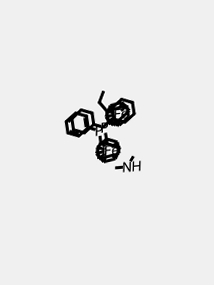 CC[C]12[CH]3[CH]4[CH]5[C]1(P(c1ccccc1)[C]16[CH]7[CH]8[CH]9[CH]1[Fe]89761%10%11%12[CH]6[CH]1[CH]%10[C]%11(P(C1CCCCC1)C1CCCCC1)[CH]6%12)[Fe]43521678[CH]2[CH]1[CH]6[CH]7[CH]28.CNC